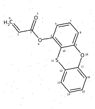 C=CC(=O)Oc1cccc2c1Sc1ccccc1O2